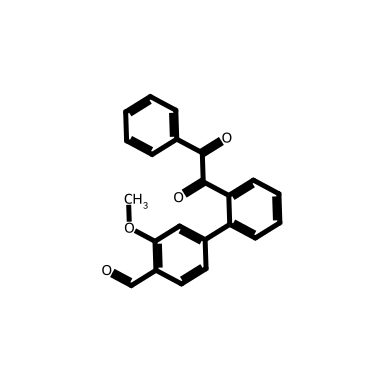 COc1cc(-c2ccccc2C(=O)C(=O)c2ccccc2)ccc1C=O